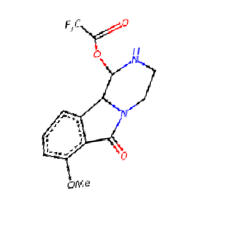 COc1cccc2c1C(=O)N1CCNC(OC(=O)C(F)(F)F)C21